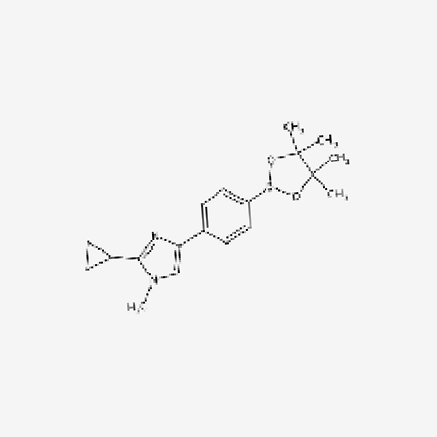 Cn1cc(-c2ccc(B3OC(C)(C)C(C)(C)O3)cc2)nc1C1CC1